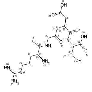 C[C@@H](O)[C@H](NC(=O)[C@H](CC(=O)O)NC(=O)CNC(=O)[C@@H](N)CCCNC(=N)N)C(=O)O